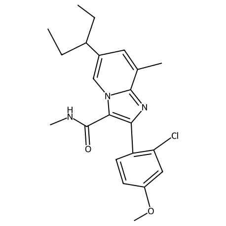 CCC(CC)c1cc(C)c2nc(-c3ccc(OC)cc3Cl)c(C(=O)NC)n2c1